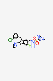 Cn1cnc(S(=O)(=O)NCc2cc3c(cc2F)CC(CN2CCC2)C3Cc2cccc(Cl)c2)c1